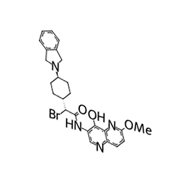 COc1ccc2ncc(NC(=O)C(Br)[C@H]3CC[C@H](N4Cc5ccccc5C4)CC3)c(O)c2n1